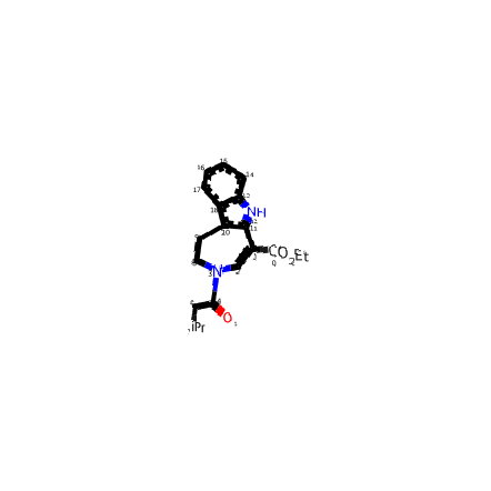 CCOC(=O)C1=CN(C(=O)CC(C)C)CCc2c1[nH]c1ccccc21